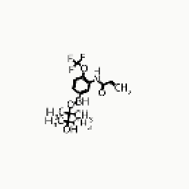 C=CC(=O)Nc1cc(BOC(C)(C)C(C)(C)O)ccc1OC(F)(F)F